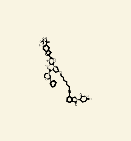 CC(C)(C)[C@H](NC(=O)c1cc2cc(C(F)(F)P(=O)(O)O)ccc2s1)C(=O)N1C[C@@H](OCCCCCCC#Cc2cccc3c2CN(C2CCC(=O)NC2=O)C3=O)C[C@H]1C(=O)N1CCO[C@H](c2ccccc2)C1